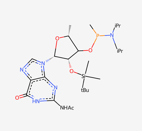 CC(=O)Nc1nc2c(ncn2[C@@H]2O[C@H](C)C(OP(C)N(C(C)C)C(C)C)[C@@H]2O[Si](C)(C)C(C)(C)C)c(=O)[nH]1